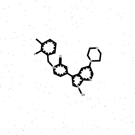 Cc1cccc(Cn2ccc(-c3cn(S)c4ncc(N5CCOCC5)cc34)cc2=O)c1F